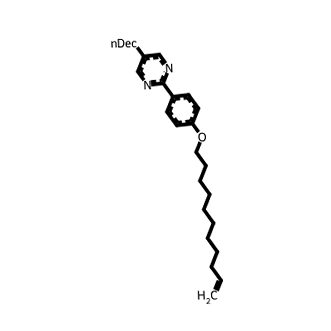 C=CCCCCCCCCCOc1ccc(-c2ncc(CCCCCCCCCC)cn2)cc1